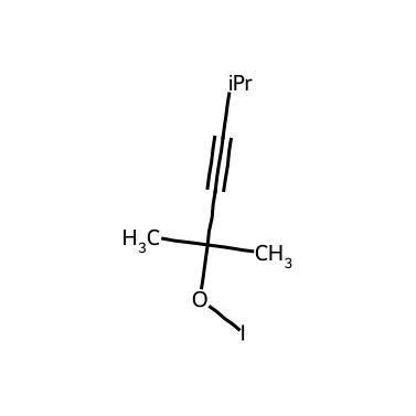 CC(C)C#CC(C)(C)OI